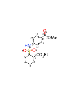 CCOC(=O)C1=CCCCC1S(=O)(=O)Nc1ccc(C(=O)OC)cc1